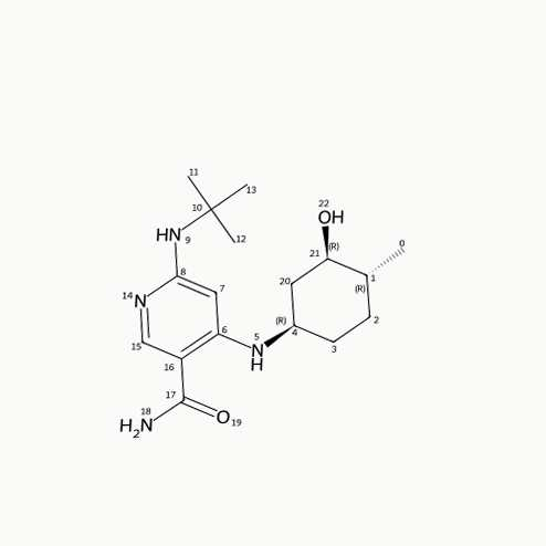 C[C@@H]1CC[C@@H](Nc2cc(NC(C)(C)C)ncc2C(N)=O)C[C@H]1O